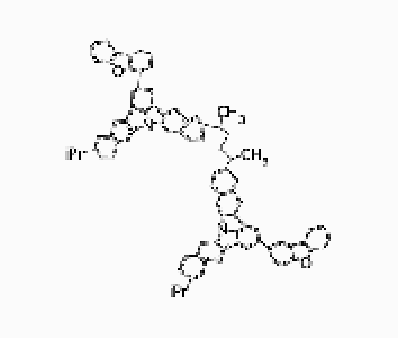 CC(C)c1ccc2cc3c(cc2c1)c1cc(-c2ccc4oc5ccccc5c4c2)cc2c4cc5cc(C(C)CCC(C)c6ccc7cc8c(cc7c6)c6cc(-c7cccc9c7oc7ccccc79)cc7c9cc%10cc(C(C)C)ccc%10cc9n8c76)ccc5cc4n3c12